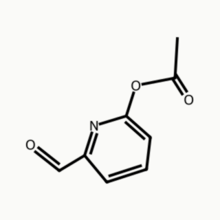 CC(=O)Oc1cccc(C=O)n1